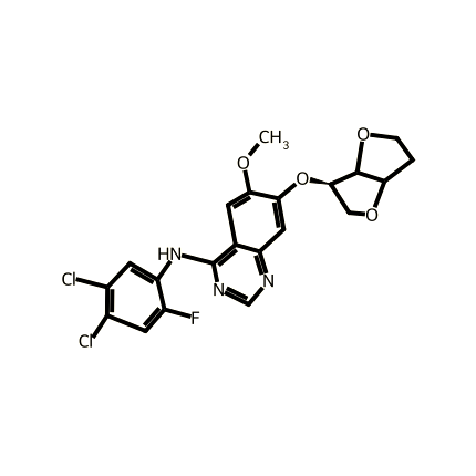 COc1cc2c(Nc3cc(Cl)c(Cl)cc3F)ncnc2cc1O[C@@H]1COC2CCOC21